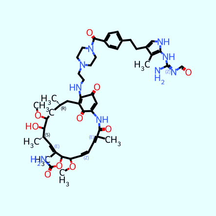 COC1/C=C\C=C(/C)C(=O)NC2=CC(=O)C(NCCN3CCN(C(=O)c4ccc(CCc5c[nH]c(N/C(N)=N\C=O)c5C)cc4)CC3)=C(C[C@@H](C)CC(OC)C(O)[C@@H](C)/C=C(\C)C1OC(N)=O)C2=O